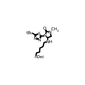 CCCCCCCCCCCCCCCNC1CN(C)C(=O)N1c1nnc(C(C)(C)C)s1